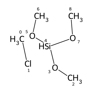 CCl.CO[SiH](OC)OC